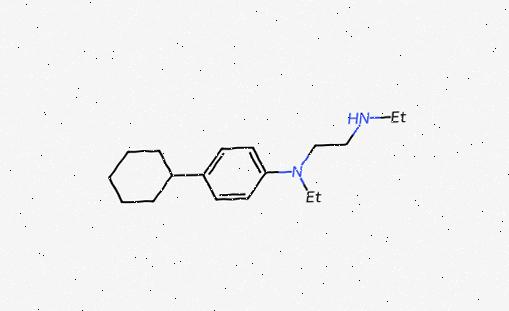 CCNCCN(CC)c1ccc(C2CCCCC2)cc1